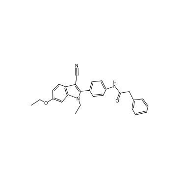 CCOc1ccc2c(C#N)c(-c3ccc(NC(=O)Cc4ccccc4)cc3)n(CC)c2c1